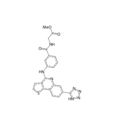 COC(=O)CNC(=O)c1cccc(Nc2nc3cc(-c4nnn[nH]4)ccc3c3sccc23)c1